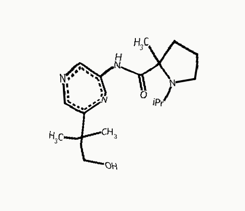 CC(C)N1CCCC1(C)C(=O)Nc1cncc(C(C)(C)CO)n1